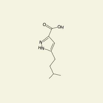 CC(C)CCc1cc(C(=O)O)n[nH]1